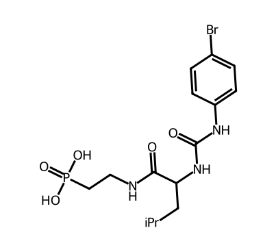 CC(C)CC(NC(=O)Nc1ccc(Br)cc1)C(=O)NCCP(=O)(O)O